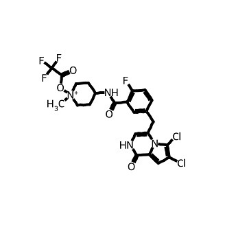 C[N+]1(OC(=O)C(F)(F)F)CCC(NC(=O)c2cc(Cc3c[nH]c(=O)c4cc(Cl)c(Cl)n34)ccc2F)CC1